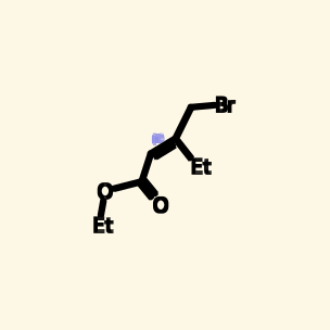 CCOC(=O)/C=C(\CC)CBr